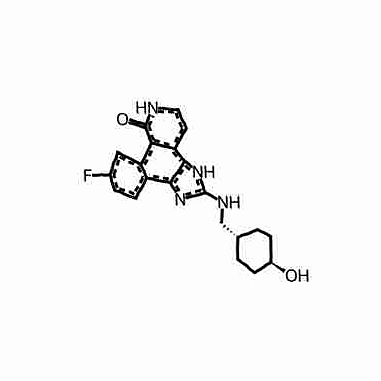 O=c1[nH]ccc2c3[nH]c(NC[C@H]4CC[C@H](O)CC4)nc3c3ccc(F)cc3c12